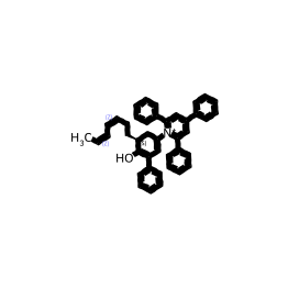 C/C=C\C=C/CC[C@H]1CC([n+]2c(-c3ccccc3)cc(-c3ccccc3)cc2-c2ccccc2)=CC(c2ccccc2)=C1O